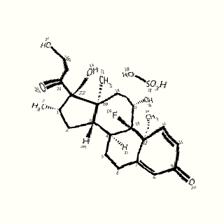 C[C@H]1C[C@H]2[C@@H]3CCC4=CC(=O)C=C[C@]4(C)[C@@]3(F)[C@@H](O)C[C@]2(C)[C@@]1(O)C(=O)CO.O=S(=O)(O)O